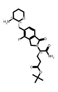 CC(C)(C)OC(=O)CC[C@H](C(N)=O)N1Cc2c(ccc(C[C@H]3OCCC[C@@H]3N)c2F)C1=O